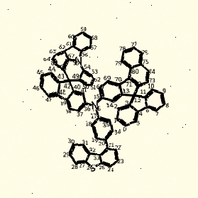 c1ccc2c(c1)-c1ccccc1C21c2cc(N(c3ccc(-c4cccc5sc6ccccc6c45)cc3)c3ccc4c(c3)C3(c5ccccc5-4)c4ccccc4-n4c5ccccc5c5cccc3c54)ccc2-c2c1ccc1ccccc21